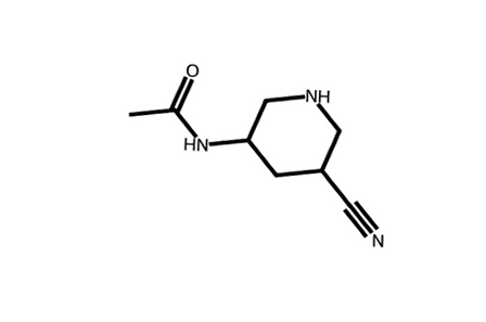 CC(=O)NC1CNCC(C#N)C1